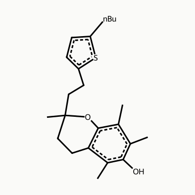 CCCCc1ccc(CCC2(C)CCc3c(C)c(O)c(C)c(C)c3O2)s1